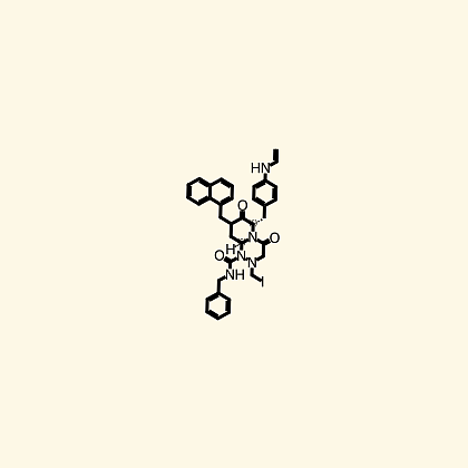 C=CNc1ccc(C[C@H]2C(=O)C(Cc3cccc4ccccc34)C[C@H]3N2C(=O)CN(CI)N3C(=O)NCc2ccccc2)cc1